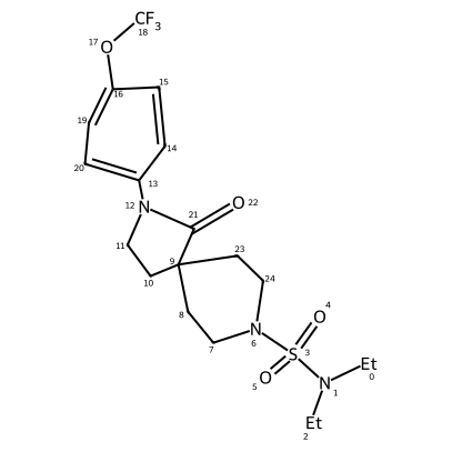 CCN(CC)S(=O)(=O)N1CCC2(CCN(c3ccc(OC(F)(F)F)cc3)C2=O)CC1